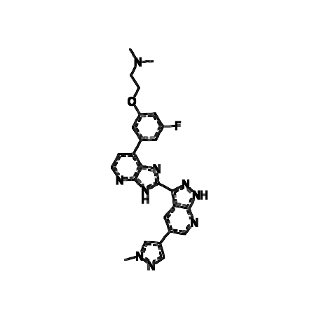 CN(C)CCOc1cc(F)cc(-c2ccnc3[nH]c(-c4n[nH]c5ncc(-c6cnn(C)c6)cc45)nc23)c1